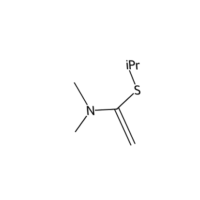 C=C(SC(C)C)N(C)C